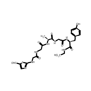 C[C@H](NC(=O)CNC(=O)CNc1ncc(C=O)s1)C(=O)NCC(=O)N[C@@H](Cc1ccc(O)cc1)C(=O)NCC(=O)O